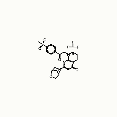 CS(=O)(=O)c1ccc(C(=O)CN2c3nc(N4CC5CC4CO5)cc(=O)n3CC[C@H]2C(F)(F)F)cc1